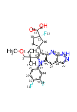 COCC(C)(C)c1c(C2CC[C@@](F)(C(=O)O)C2)c2nc3[nH]ncc3cc2n1-c1ccc(F)c(F)c1